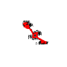 CO[C@H]1[C@H](OC(C)CCCCCC(CCCCCCCCCCCCCCCC2CC(=O)OCC3OC(OC(CCCCCCCCCCCCCC(CCCCCC(C)O)O[C@@H]4O[C@H](CO)[C@@H](O)[C@H](O)[C@H]4OC)CC(=O)OCC4OC(O2)C(O)C(O)C4O)C(O)C(O)C3O)O[C@@H]2O[C@H](CO)[C@@H](O)[C@H](O)[C@H]2OC)O[C@H](CO)[C@@H](O)[C@@H]1O